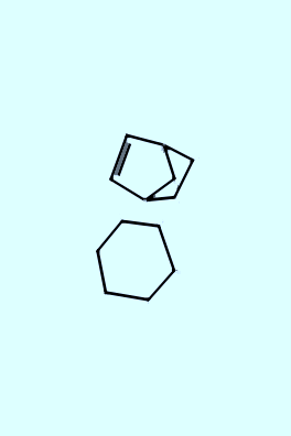 C1=CC2CCC1C2.C1CCCCC1